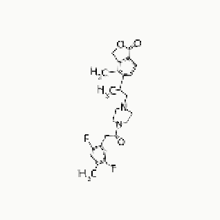 Cc1cc(F)c(CC(=O)N2CCN(CC(C)c3ccc4c(c3C)COC4=O)CC2)cc1F